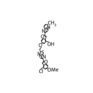 COc1cc(CCl)c2cc(-c3cn4nc(CCOc5cc(CO)c6cc(-c7cn8nc(C)ccc8n7)oc6c5)sc4n3)oc2c1